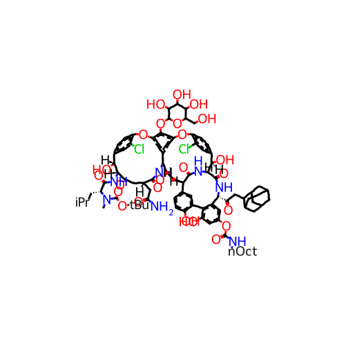 CCCCCCCCNC(=O)Oc1cc(O)c2c(c1)[C@@H](C(=O)CC1C3CC4CC(C3)CC1C4)NC(=O)[C@H]1NC(=O)[C@H](CC(=O)[C@@H]3NC(=O)[C@H](CC(N)=O)CC(=O)[C@H](NC(=O)[C@@H](CC(C)C)N(C)C(=O)OC(C)(C)C)[C@H](O)c4ccc(c(Cl)c4)Oc4cc3cc(c4OC3OC(CO)C(O)C(O)C3O)Oc3ccc(cc3Cl)[C@H]1O)c1ccc(O)c-2c1